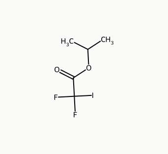 CC(C)OC(=O)C(F)(F)I